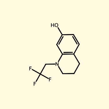 Oc1ccc2c(c1)N(CC(F)(F)F)CCC2